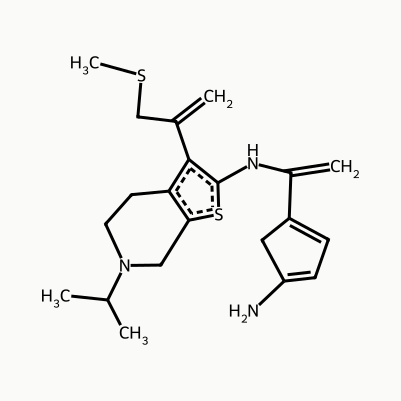 C=C(Nc1sc2c(c1C(=C)CSC)CCN(C(C)C)C2)C1=CC=C(N)C1